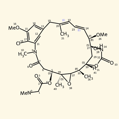 CNCC(=O)O[C@H]1CC(=O)N(C)c2cc(cc(OC)c2Cl)C/C(C)=C/C=C/[C@@H](OC)[C@@]2(O)C[C@H](OC(=O)N2)[C@@H](C)C2O[C@]21C